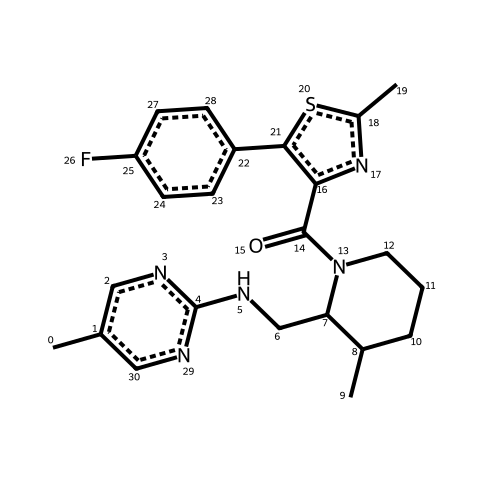 Cc1cnc(NCC2C(C)CCCN2C(=O)c2nc(C)sc2-c2ccc(F)cc2)nc1